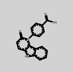 O=C(O)c1ccc(-n2c(=O)ccc3[nH]c4ccccc4c32)cc1